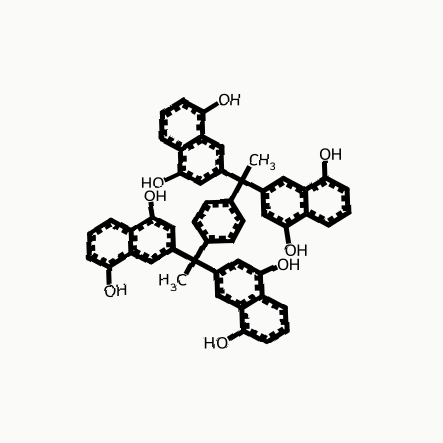 CC(c1ccc(C(C)(c2cc(O)c3cccc(O)c3c2)c2cc(O)c3cccc(O)c3c2)cc1)(c1cc(O)c2cccc(O)c2c1)c1cc(O)c2cccc(O)c2c1